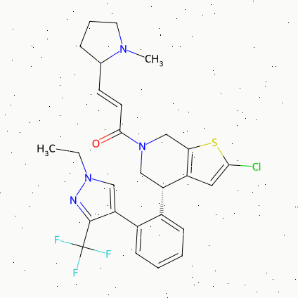 CCn1cc(-c2ccccc2[C@@H]2CN(C(=O)/C=C/C3CCCN3C)Cc3sc(Cl)cc32)c(C(F)(F)F)n1